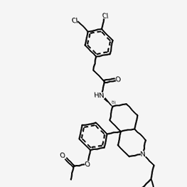 CC(=O)Oc1cccc(C23CCN(CC4CC4)CC2CC[C@H](NC(=O)Cc2ccc(Cl)c(Cl)c2)C3)c1